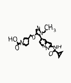 CCn1ncc(OCC2CCN(C(=O)O)C2)c1-c1ccn2nc(NC(=O)C3CC3)cc2c1